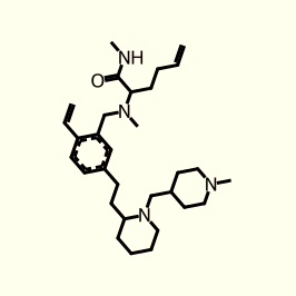 C=CCCC(C(=O)NC)N(C)Cc1cc(CCC2CCCCN2CC2CCN(C)CC2)ccc1C=C